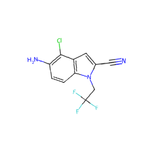 N#Cc1cc2c(Cl)c(N)ccc2n1CC(F)(F)F